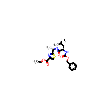 CCOC(=O)c1csc([C@H](C)NC(=O)[C@@H](CC(C)C)NC(=O)OCc2ccccc2)n1